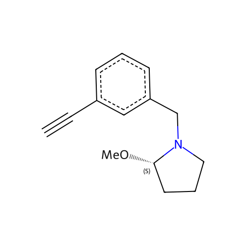 C#Cc1cccc(CN2CCC[C@@H]2OC)c1